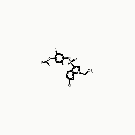 CCn1cc(S(=O)(=O)Nc2cc(F)c(OC(F)F)cc2F)c2ccc(Cl)cc21